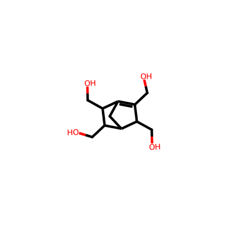 OCC1=C2CC(C1CO)C(CO)C2CO